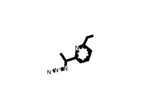 CCc1cccc(C(C)N=[N+]=[N-])n1